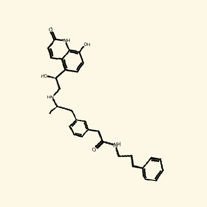 C[C@H](Cc1cccc(CC(=O)NCCCc2ccccc2)c1)NC[C@@H](O)c1ccc(O)c2[nH]c(=O)ccc12